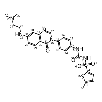 Cc1ccc(S(=O)(=O)NC(=O)Nc2ccc(-n3cnc4cc(NCCN(C)C)ccc4c3=O)cc2)s1